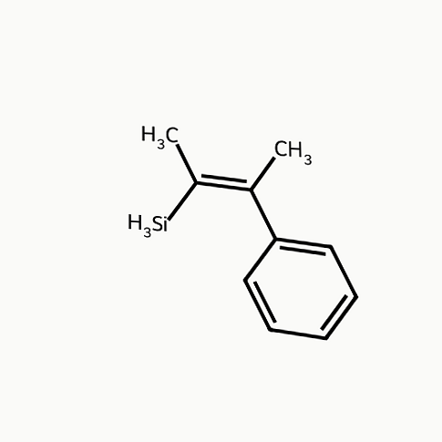 CC([SiH3])=C(C)c1ccccc1